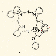 c1ccc(Oc2cccc3c2c2nc4nc(nc5c6ccccc6c(nc6nc(c(Oc7ccccc7)c3n2Oc2ccccc2)-c2ccccc2-6)n5Oc2ccccc2)-c2ccccc2-4)cc1